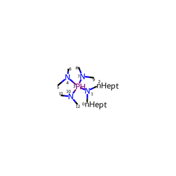 CCCCCCCN(CCCCCCC)[PH](N(C)C)(N(C)C)N(C)C